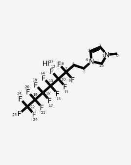 CN1C=CN(CCC(F)(F)C(F)(F)C(F)(F)C(F)(F)C(F)(F)C(F)(F)F)C1.I